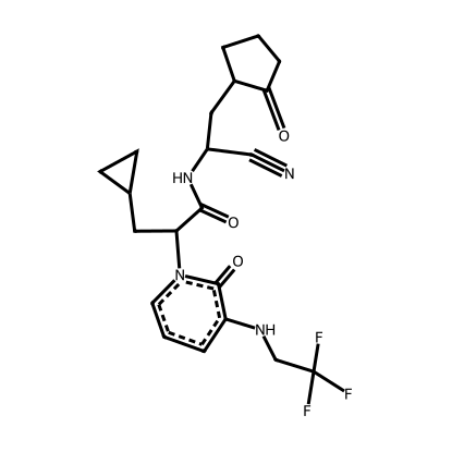 N#CC(CC1CCCC1=O)NC(=O)C(CC1CC1)n1cccc(NCC(F)(F)F)c1=O